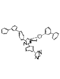 c1ccc(-c2cccc(-c3ccc(-c4cc(-c5ccc(-c6cccc(-c7ccccc7)c6)cc5)nc(-c5cccc(-c6cncnc6)c5)n4)cc3)c2)cc1